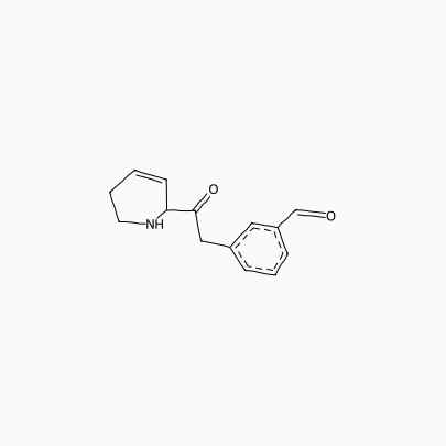 O=Cc1cccc(CC(=O)C2C=CCCN2)c1